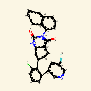 O=c1[nH]c2cc(-c3c(Cl)cccc3-c3cncc(F)c3)ccc2c(=O)n1-c1cccc2ccccc12